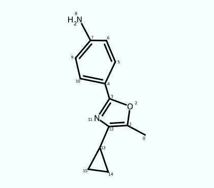 Cc1oc(-c2ccc(N)cc2)nc1C1CC1